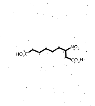 O=C(O)CCCCCC(CC(=O)O)[N+](=O)[O-]